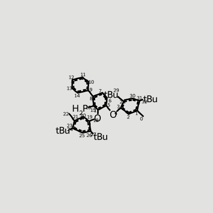 Cc1cc(Oc2ccc(-c3ccccc3)c(P)c2Oc2cc(C)c(C(C)(C)C)cc2C(C)(C)C)c(C(C)(C)C)cc1C(C)(C)C